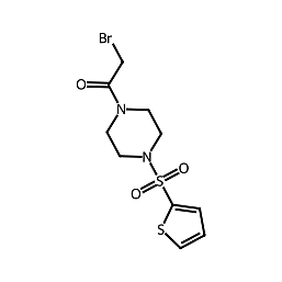 O=C(CBr)N1CCN(S(=O)(=O)c2cccs2)CC1